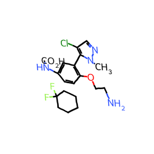 Cn1ncc(Cl)c1-c1cc(NC(=O)O)ccc1OCCN.FC1(F)CCCCC1